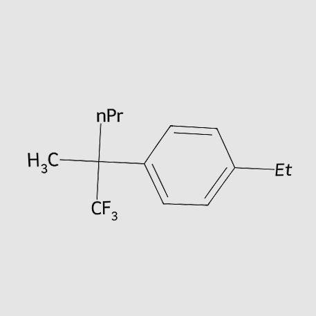 CCCC(C)(c1ccc(CC)cc1)C(F)(F)F